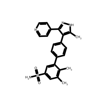 Cc1cc(S(N)(=O)=O)cc(-c2ccc(-c3c(-c4ccncc4)n[nH]c3C)cc2)c1C